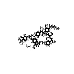 COc1cc(NC(=O)c2cc(=O)c3ccccc3o2)c(C(=O)Nc2ccc(CCN(Cc3ccc4c(cnn4C)c3)Cc3ccc4c(c3)c(C)nn4C)cc2)cc1OC